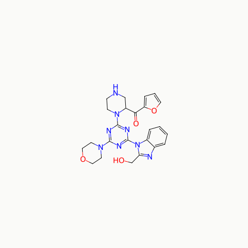 O=C(c1ccco1)C1CNCCN1c1nc(N2CCOCC2)nc(-n2c(CO)nc3ccccc32)n1